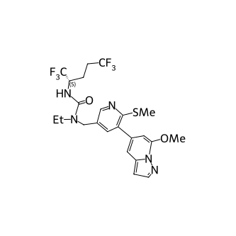 CCN(Cc1cnc(SC)c(-c2cc(OC)n3nccc3c2)c1)C(=O)N[C@@H](CCC(F)(F)F)C(F)(F)F